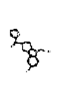 O=C(O)Cn1c2c(c3cc(Cl)ccc31)CN(C(=O)c1cccs1)CC2